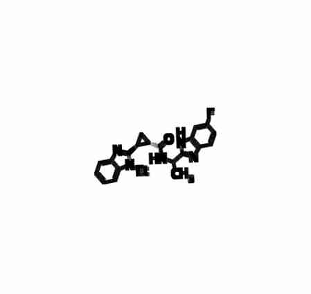 CCn1c([C@H]2C[C@@H]2C(=O)NC(C)c2nc3ccc(F)cc3[nH]2)nc2ccccc21